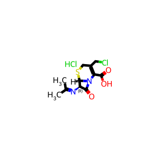 CC(C)=N[C@@H]1C(=O)N2C(C(=O)O)=C(CCl)CS[C@@H]12.Cl